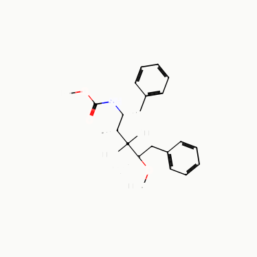 CC(C)(C)OC(=O)N[C@H](Cc1ccccc1)[C@@H](C(C)(C)C)C(C)(C)[C@@](Cc1ccccc1)(O[SiH3])C(=O)O